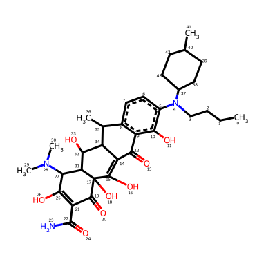 CCCCN(c1ccc2c(c1O)C(=O)C1=C(O)C3(O)C(=O)C(C(N)=O)=C(O)C(N(C)C)C3C(O)C1C2C)C1CCC(C)CC1